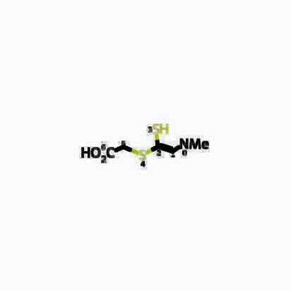 CN/C=C(\S)SCC(=O)O